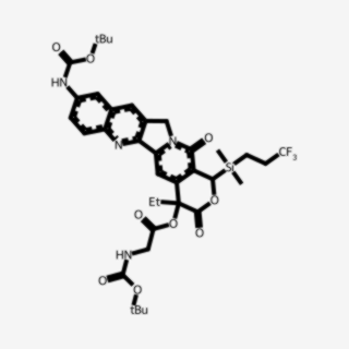 CCC1(OC(=O)CNC(=O)OC(C)(C)C)C(=O)OC([Si](C)(C)CCC(F)(F)F)c2c1cc1n(c2=O)Cc2cc3cc(NC(=O)OC(C)(C)C)ccc3nc2-1